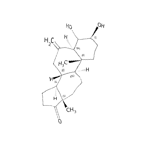 C=C1C[C@@H]2[C@H](CC[C@]3(C)C(=O)CC[C@@H]23)[C@@]2(C)CC[C@H](O)C(O)[C@H]12